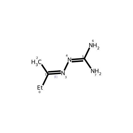 CC/C(C)=N/N=C(N)N